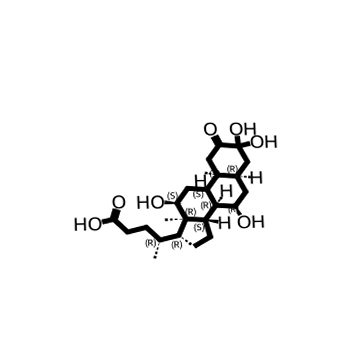 C[C@H](CCC(=O)O)[C@H]1CC[C@H]2[C@@H]3[C@H](O)C[C@@H]4CC(O)(O)C(=O)C[C@]4(C)[C@H]3C[C@H](O)[C@]12C